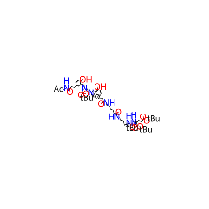 CC(=O)CNC(=O)CCc1ccc(O)c(CN(CCN(CC(C)=O)Cc2cc(CCC(=O)NCCCCCC(=O)NCCCC[C@H](NC(=O)N[C@@H](CCC(=O)OC(C)(C)C)C(=O)OC(C)(C)C)C(C)(C)C)ccc2O)CC(=O)OC(C)(C)C)c1